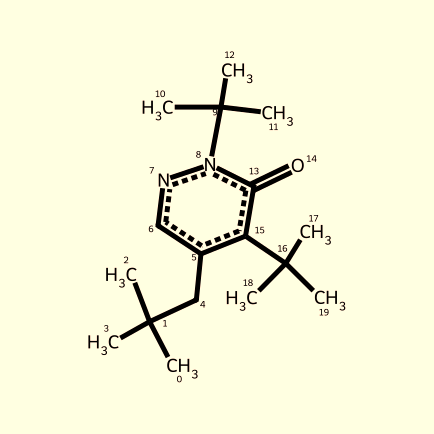 CC(C)(C)Cc1cnn(C(C)(C)C)c(=O)c1C(C)(C)C